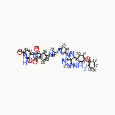 Nc1ncnc2c1c(-c1ccc(Oc3ccccc3)cc1)nn2C1CCCN(C2CN(c3ccc4c(c3)C(=O)N(C3CCC(=O)NC3=O)C4=O)C2)C1